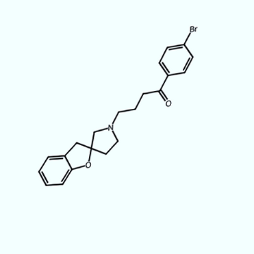 O=C(CCCN1CCC2(Cc3ccccc3O2)C1)c1ccc(Br)cc1